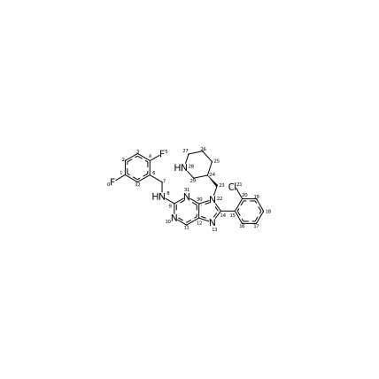 Fc1ccc(F)c(CNc2ncc3nc(-c4ccccc4Cl)n(C[C@@H]4CCCNC4)c3n2)c1